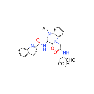 CC(=O)N1CC(NC(=O)c2ccc3ccccc3n2)C(=O)N(CC(=O)N[C@H](C=O)CC(=O)O)c2ccccc21